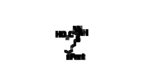 CCCCCC(C)CCCCSc1[nH]nnc1C(=O)O